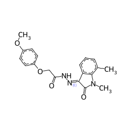 COc1ccc(OCC(=O)N/N=C2/C(=O)N(C)c3c(C)cccc32)cc1